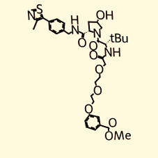 COC(=O)c1cccc(OCCOCCOCC(=O)N[C@H](C(=O)N2C[C@H](O)C[C@H]2C(=O)NCc2ccc(-c3scnc3C)cc2)C(C)(C)C)c1